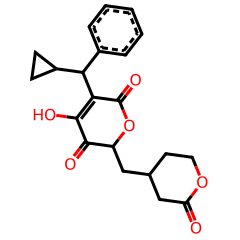 O=C1CC(CC2OC(=O)C(C(c3ccccc3)C3CC3)=C(O)C2=O)CCO1